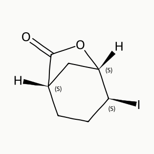 O=C1O[C@H]2C[C@@H]1CC[C@@H]2I